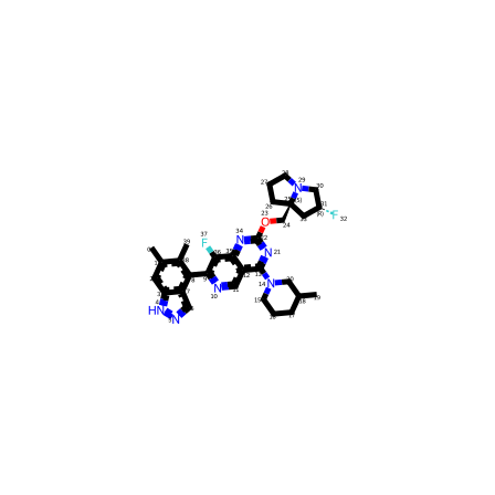 Cc1cc2[nH]ncc2c(-c2ncc3c(N4CCCC(C)C4)nc(OC[C@@]45CCCN4C[C@H](F)C5)nc3c2F)c1C